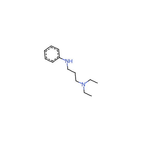 CCN(CC)CCCNc1ccccc1